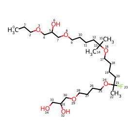 CCCOCC(O)COCCCCC(C)(C)OCCCCC(C)(F)OCCCCOCC(O)CO